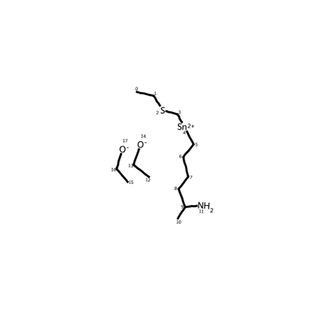 CCS[CH2][Sn+2][CH2]CCCC(C)N.CC[O-].CC[O-]